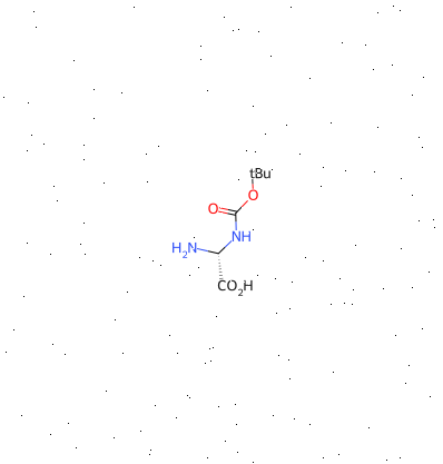 CC(C)(C)OC(=O)N[C@@H](N)C(=O)O